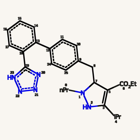 CCCN1NC(C(C)C)=C(C(=O)OCC)C1Cc1ccc(-c2ccccc2-c2nnn[nH]2)cc1